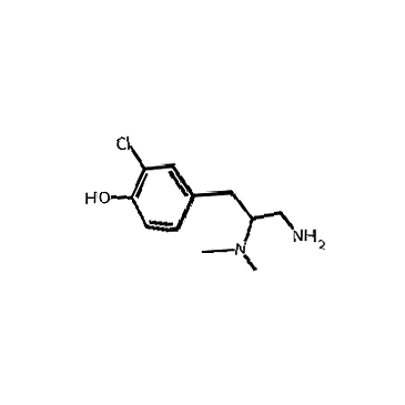 CN(C)C(CN)Cc1ccc(O)c(Cl)c1